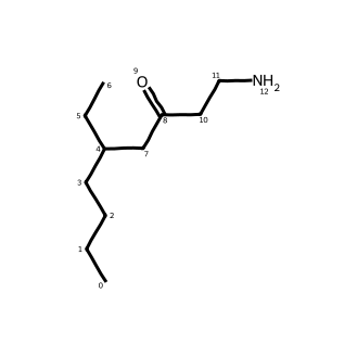 CCCCC(CC)CC(=O)CCN